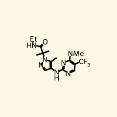 CCNC(=O)C(C)(C)n1ncc(Nc2ncc(C(F)(F)F)c(NC)n2)c1C